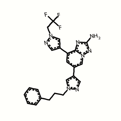 Nc1nc2c(-c3cnn(CC(F)(F)F)c3)cc(-c3cnn(CCCc4ccccc4)c3)cn2n1